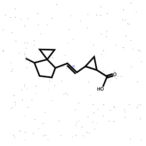 CC1CCC(/C=C/C2CC2C(=O)O)C12CC2